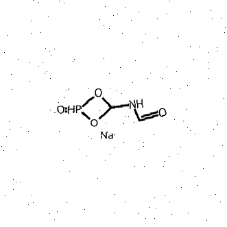 O=CNC1O[PH](=O)O1.[Na]